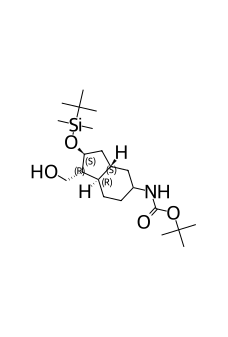 CC(C)(C)OC(=O)NC1CC[C@@H]2[C@@H](C1)C[C@H](O[Si](C)(C)C(C)(C)C)[C@H]2CO